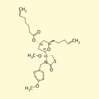 C=CCCCCC(=O)O[C@@H]1C[C@@H](CCCC=C)O[C@@](OC)([C@@H]2CSC(=O)N2Cc2ccc(OC)cc2)C1